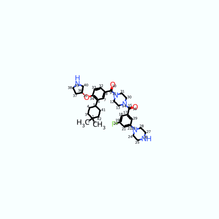 CC1(C)CCC(c2cc(C(=O)N3CCN(C(=O)c4cc(F)cc(N5CCNCC5)c4)CC3)ccc2O[C@H]2CCNC2)CC1